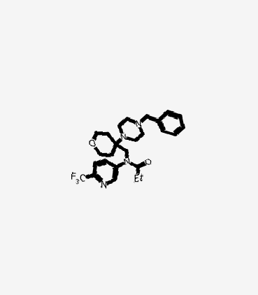 CCC(=O)N(CC1(N2CCN(Cc3ccccc3)CC2)CCOCC1)c1ccc(C(F)(F)F)nc1